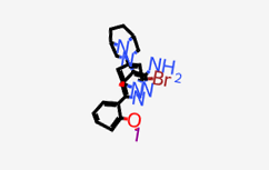 Nc1nnc(-c2ccccc2OI)cc1N1CC2CCC(C1)N2c1ccnc(Br)c1